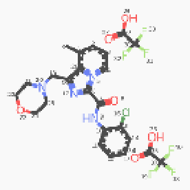 Cc1cccn2c(C(=O)Nc3ccccc3Cl)nc(CN3CCOCC3)c12.O=C(O)C(F)(F)F.O=C(O)C(F)(F)F